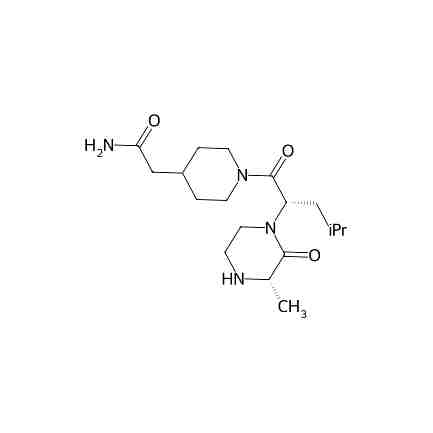 CC(C)C[C@@H](C(=O)N1CCC(CC(N)=O)CC1)N1CCN[C@@H](C)C1=O